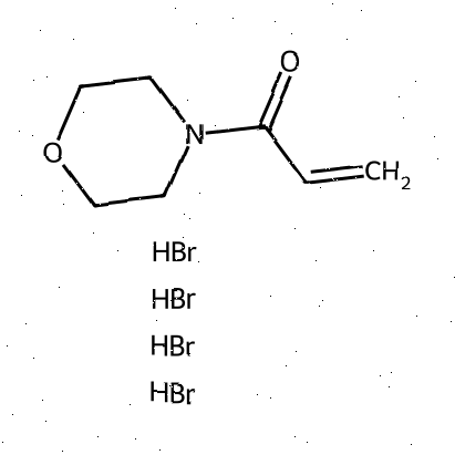 Br.Br.Br.Br.C=CC(=O)N1CCOCC1